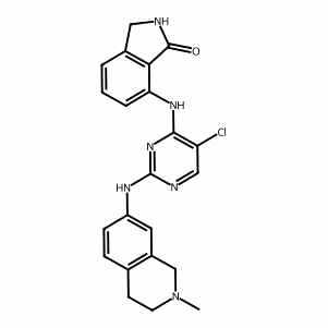 CN1CCc2ccc(Nc3ncc(Cl)c(Nc4cccc5c4C(=O)NC5)n3)cc2C1